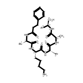 CC[C@@H](C)C(NC(=O)CCc1ccccc1)C(=O)N[C@@H](CCCCN)C(=O)N[C@H](C(=O)N[C@@H](C)C(=O)N[C@H](C(=O)O)C(C)C)C(C)C